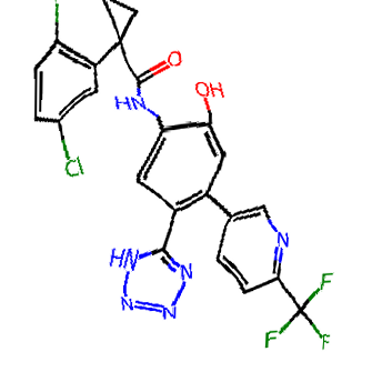 O=C(Nc1cc(-c2nnn[nH]2)c(-c2ccc(C(F)(F)F)nc2)cc1O)C1(c2cc(Cl)ccc2F)CC1